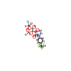 CC(=O)OC(C(=O)OC(C)(C)C)C1OCCN(c2ccc(C(F)(F)F)cc2)C1=O